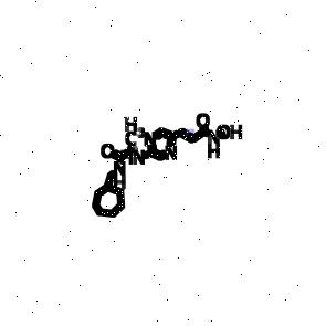 C[C@@H](Nc1cnc(/C=C/C(=O)NO)cn1)C(=O)NCC1CCCCCC1